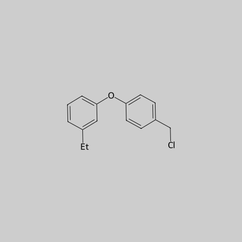 CCc1cccc(Oc2ccc(CCl)cc2)c1